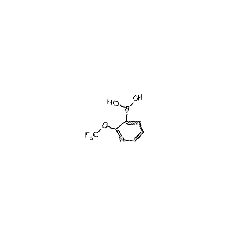 OB(O)c1cccnc1OC(F)(F)F